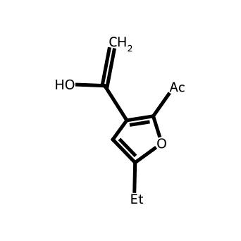 C=C(O)c1cc(CC)oc1C(C)=O